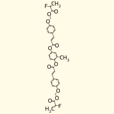 C=C(F)C(=O)OCOc1ccc(/C=C/C(=O)Oc2ccc(OC(=O)/C=C/c3ccc(OCOC(=O)C(=C)F)cc3)c(C)c2)cc1